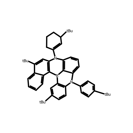 CC(C)(C)c1ccc(N2c3ccc(C(C)(C)C)cc3B3c4c(cccc42)N(C2=CC(C(C)(C)C)CCC2)c2cc(C(C)(C)C)c4ccccc4c23)cc1